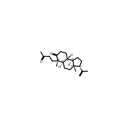 C=C(C)[C@@H]1CC[C@@H]2[C@H]3CCC(=O)[C@@](C)(CCC(C)=O)[C@@H]3CC[C@]21C